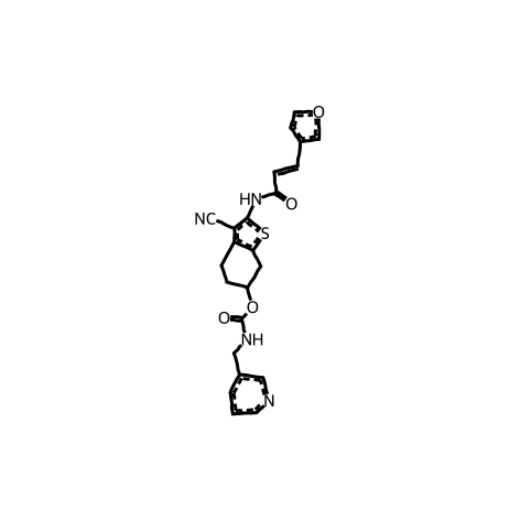 N#Cc1c(NC(=O)C=Cc2ccoc2)sc2c1CCC(OC(=O)NCc1cccnc1)C2